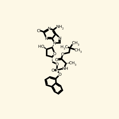 C[C@H](NP(=O)(OC[C@@H]1C[C@@H](O)[C@H](n2cnc3c(N)nc(Cl)nc32)O1)Oc1cccc2ccccc12)C(=O)OCC(C)(C)C